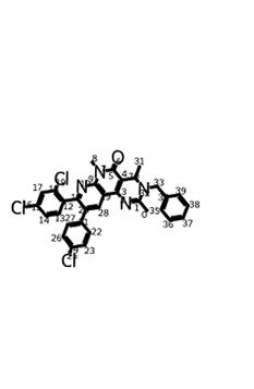 CC1=Nc2c(c(=O)n(C)c3nc(-c4ccc(Cl)cc4Cl)c(-c4ccc(Cl)cc4)cc23)C(C)N1Cc1ccccc1